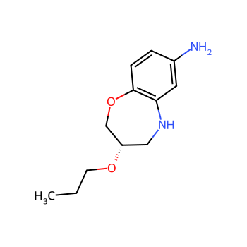 CCCO[C@H]1CNc2cc(N)ccc2OC1